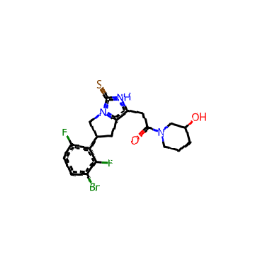 O=C(Cc1[nH]c(=S)n2c1CC(c1c(F)ccc(Br)c1F)C2)N1CCCC(O)C1